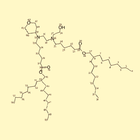 CCCCCCCCC(CCCCCCCC)COC(=O)CCCCCN(CCO)CCN(CCCCCC(=O)OCC(CCCCCCCC)CCCCCCCC)C1CCOCC1